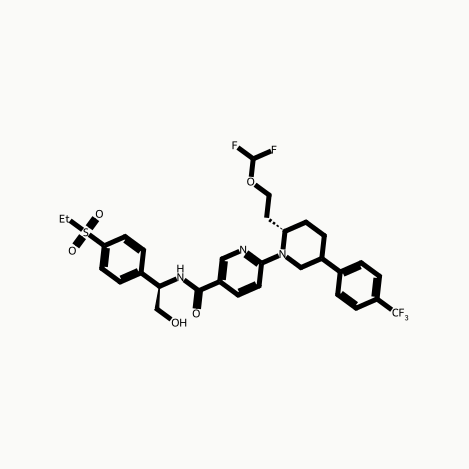 CCS(=O)(=O)c1ccc([C@H](CO)NC(=O)c2ccc(N3CC(c4ccc(C(F)(F)F)cc4)CC[C@H]3CCOC(F)F)nc2)cc1